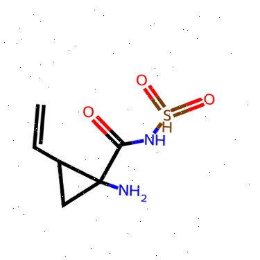 C=CC1CC1(N)C(=O)N[SH](=O)=O